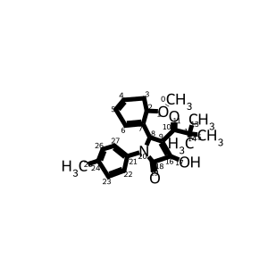 COC1CC=CC=C1C1C(C(=O)C(C)(C)C)=C(O)C(=O)N1c1ccc(C)cc1